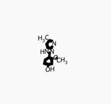 COc1cc(O)ccc1-c1nc2ncc(C)cc2[nH]1